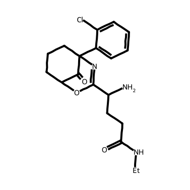 CCNC(=O)CCC(N)C1=NC2(c3ccccc3Cl)CCCC(O1)C2=O